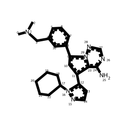 CN(C)Cc1cccc(-c2cc(-c3ccnn3C3CCCCC3)c3c(N)ncnn23)c1